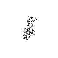 CCOC(=O)C1COc2cc3nc(C)nc(N[C@H](C)c4cccc(C(F)F)c4F)c3cc2O1